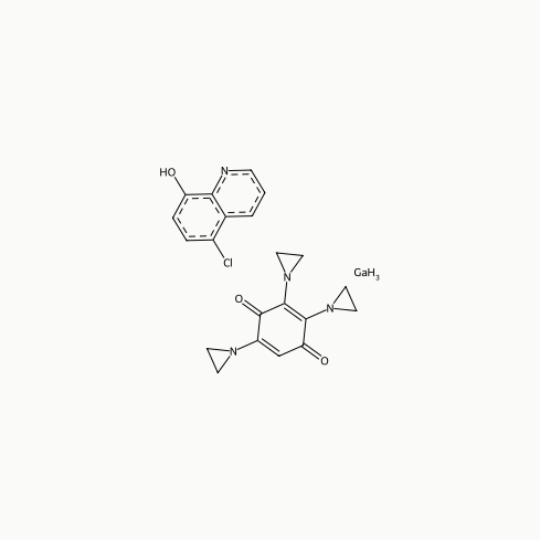 O=C1C=C(N2CC2)C(=O)C(N2CC2)=C1N1CC1.Oc1ccc(Cl)c2cccnc12.[GaH3]